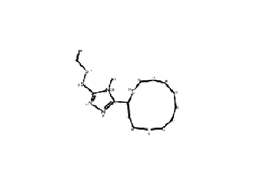 CCSSc1nnc(C2CCCCCCCCCCC2)n1C